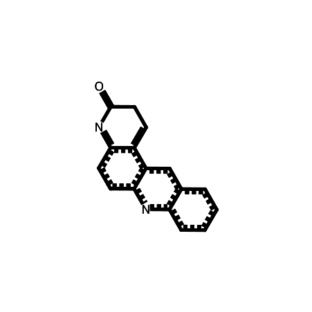 O=C1CC=c2c(ccc3nc4ccccc4cc23)=N1